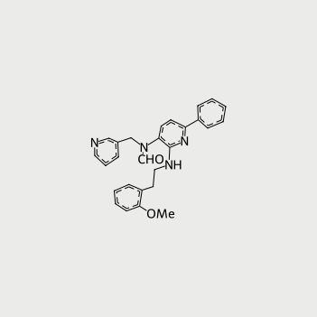 COc1ccccc1CCNc1nc(-c2ccccc2)ccc1N(C=O)Cc1cccnc1